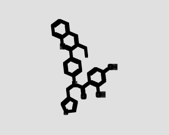 CCc1cc2ccccc2nc1-c1ccc(N(Cc2ccsc2)C(=O)c2ccc(O)cc2O)cc1